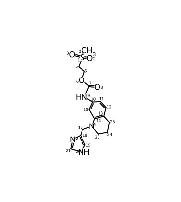 CS(=O)(=O)CCOC(=O)Nc1ccc2c(c1)N(Cc1c[nH]cn1)CCC2